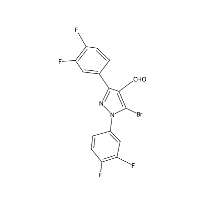 O=Cc1c(-c2ccc(F)c(F)c2)nn(-c2ccc(F)c(F)c2)c1Br